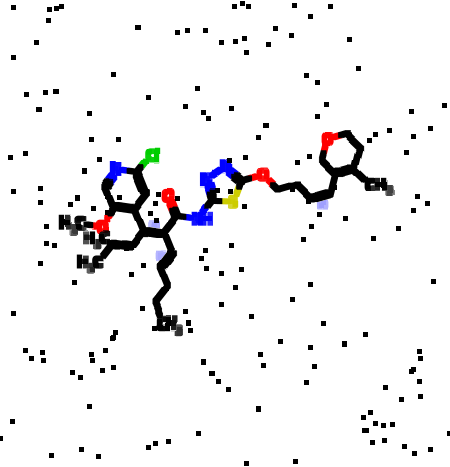 CCC/C=C/C(C(=O)Nc1nnc(OCC/C=C\C2=C(C)CCOC2)s1)=C(\C=C(C)C)c1cc(Cl)ncc1OC